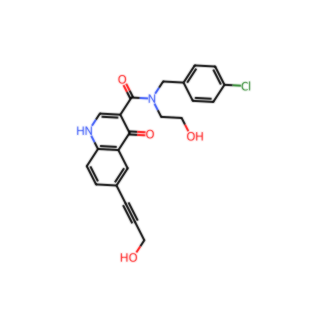 O=C(c1c[nH]c2ccc(C#CCO)cc2c1=O)N(CCO)Cc1ccc(Cl)cc1